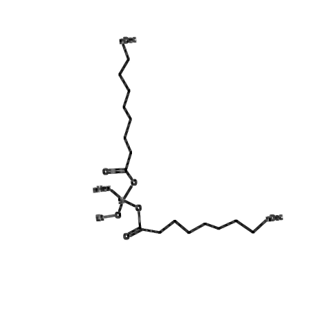 CCCCCCCCCCCCCCCCCC(=O)O[Si](CCCCCC)(OCC)OC(=O)CCCCCCCCCCCCCCCCC